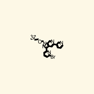 C[Si](C)(C)CCOCn1nc(-c2cccc(Br)n2)c2cc(-c3cccnc3)ncc21